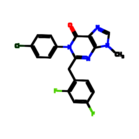 Cn1cnc2c(=O)n(-c3ccc(Cl)cc3)c(Cc3ccc(F)cc3F)nc21